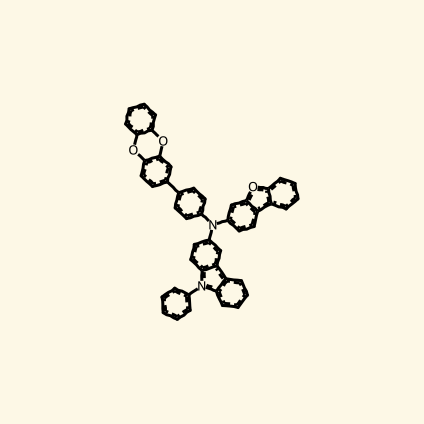 c1ccc(-n2c3ccccc3c3cc(N(c4ccc(-c5ccc6c(c5)Oc5ccccc5O6)cc4)c4ccc5c(c4)oc4ccccc45)ccc32)cc1